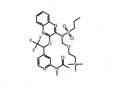 CCCS(=O)(=O)N(COCC[Si](C)(C)C)c1nc2ccccc2nc1OC(c1ccnc(N(C)C(C)=O)c1)C(F)(F)F